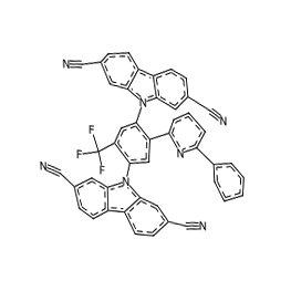 N#Cc1ccc2c3ccc(C#N)cc3n(-c3cc(C(F)(F)F)c(-n4c5cc(C#N)ccc5c5ccc(C#N)cc54)cc3-c3cccc(-c4ccccc4)n3)c2c1